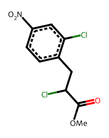 COC(=O)C(Cl)Cc1ccc([N+](=O)[O-])cc1Cl